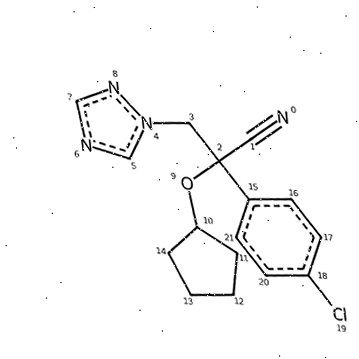 N#CC(Cn1cncn1)(OC1CCCC1)c1ccc(Cl)cc1